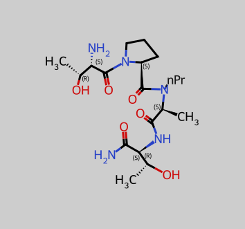 CCCN(C(=O)[C@@H]1CCCN1C(=O)[C@@H](N)[C@@H](C)O)[C@@H](C)C(=O)N[C@H](C(N)=O)[C@@H](C)O